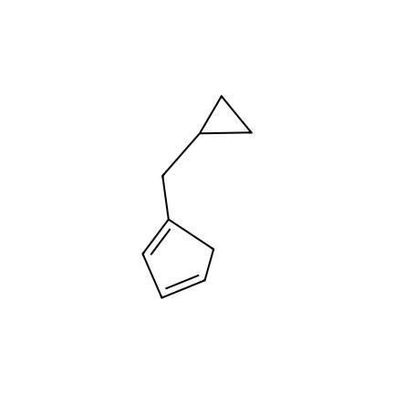 C1=CCC(CC2CC2)=C1